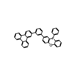 c1ccc(P2c3ccccc3Oc3ccc(-c4cccc(-c5ccc6c7ccccc7c7ccccc7c6c5)c4)cc32)cc1